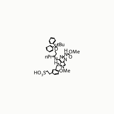 CCC[C@@H](CCO[Si](c1ccccc1)(c1ccccc1)C(C)(C)C)Nc1nc(NC(=O)OC)nc2cnn(Cc3cc(CCS(=O)(=O)O)ccc3OC)c12